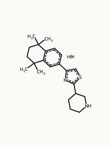 Br.CC1(C)CCC(C)(C)c2cc(-c3csc(C4CCCNC4)n3)ccc21